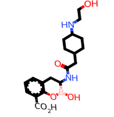 O=C(CC1CCC(NCCO)CC1)NC1Cc2cccc(C(=O)O)c2OB1O